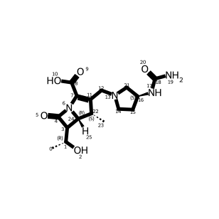 C[C@@H](O)C1C(=O)N2C(C(=O)O)=C(CN3CC[C@H](NC(N)=O)C3)[C@H](C)[C@H]12